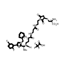 CC(=O)N(CC[C@H](N)C(=O)NCCC(=O)NCCN1C(=O)CC(SC[C@H](N)C(=O)O)C1=O)[C@@H](c1nc(-c2cc(F)ccc2F)cn1Cc1ccccc1)C(C)(C)C.O=C(O)C(F)(F)F